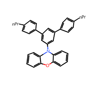 CCCc1ccc(-c2cc(-c3ccc(CCC)cc3)cc(N3c4ccccc4Oc4ccccc43)c2)cc1